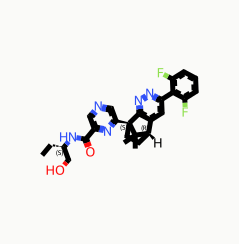 CC[C@@H](CO)NC(=O)c1cncc([C@@]23CC[C@@H](c4cc(-c5c(F)cccc5F)nnc42)C3(C)C)n1